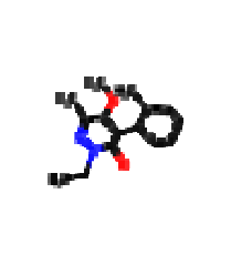 CCn1nc(C)c(OC)c(-c2ccccc2C)c1=O